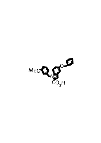 COc1cccc(Cn2c(C(=O)O)cc3cc(OCc4ccccc4)ccc32)c1